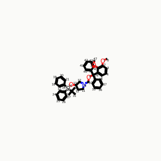 COc1cccc(C(OCN2CCC(O[Si](c3ccccc3)(c3ccccc3)C(C)(C)C)C2)(c2ccccc2)c2ccccc2)c1OC